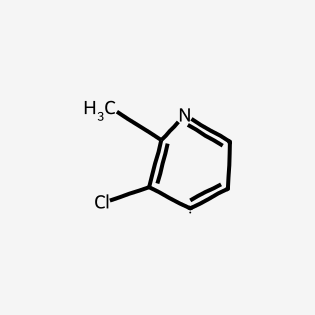 Cc1ncc[c]c1Cl